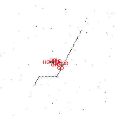 CCCCCCCC=CCCCCCCCCCCC=CCCCCC(=O)OC[C@H](COP(=O)(O)OC[C@@H](O)[C@@H](O)[C@H](O)CO)OC(=O)CCCC/C=C\CCCCCCCCCC/C=C\CCCCCCC